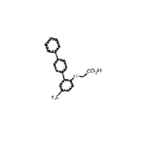 O=C(O)COc1ccc(C(F)(F)F)cc1-c1ccc(-c2ccccc2)cc1